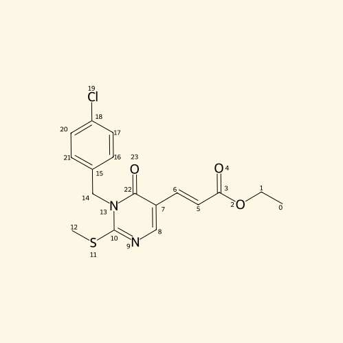 CCOC(=O)/C=C/c1cnc(SC)n(Cc2ccc(Cl)cc2)c1=O